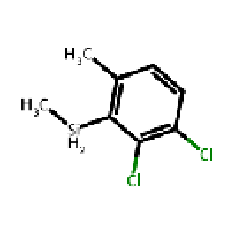 C[SiH2]c1c(C)ccc(Cl)c1Cl